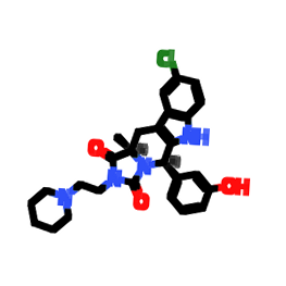 C[C@@]12Cc3c([nH]c4ccc(Cl)cc34)[C@@H](c3cccc(O)c3)N1C(=O)N(CCN1CCCCC1)C2=O